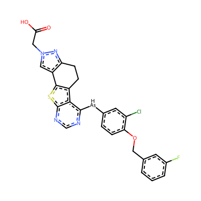 O=C(O)Cn1cc2c(n1)CCc1c-2sc2ncnc([AsH]c3ccc(OCc4cccc(F)c4)c(Cl)c3)c12